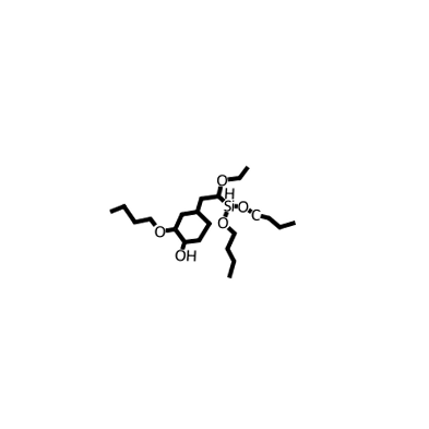 CCCCOC1CC(CC(OCC)[SiH](OCCCC)OCCCC)CCC1O